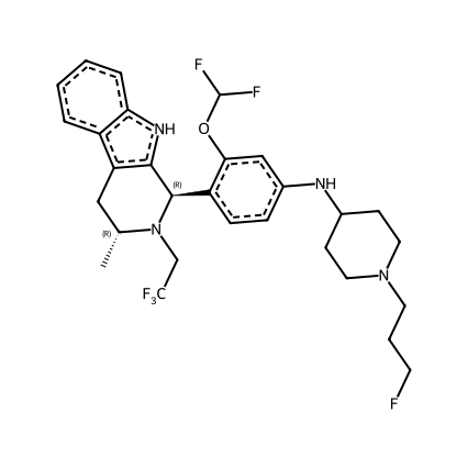 C[C@@H]1Cc2c([nH]c3ccccc23)[C@@H](c2ccc(NC3CCN(CCCF)CC3)cc2OC(F)F)N1CC(F)(F)F